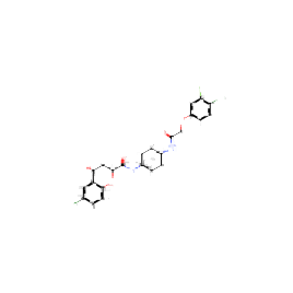 O=C(COc1ccc(Cl)c(F)c1)NC12CCC(NC(=O)C3CC(O)c4cc(Cl)ccc4O3)(CC1)CC2